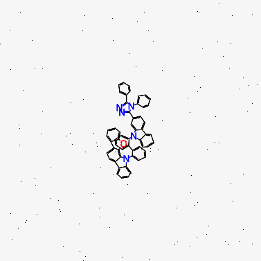 c1ccc(-c2nnc(-c3ccc4c5ccccc5n(-c5ccccc5-c5ccccc5-n5c6ccccc6c6ccc7c8ccccc8oc7c65)c4c3)n2-c2ccccc2)cc1